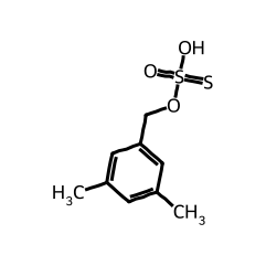 Cc1cc(C)cc(COS(=O)(O)=S)c1